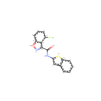 O=C(Nc1cc2ccccc2s1)c1noc2cccc(F)c12